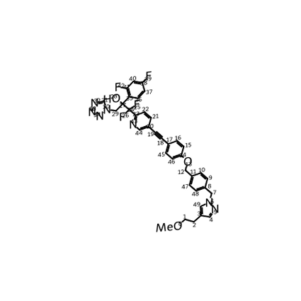 COCCc1cnn(Cc2ccc(COc3ccc(C#Cc4ccc(C(F)(F)C(O)(Cn5cnnn5)c5ccc(F)cc5F)nc4)cc3)cc2)c1